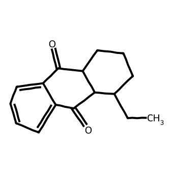 CCC1CCCC2C(=O)c3ccccc3C(=O)C12